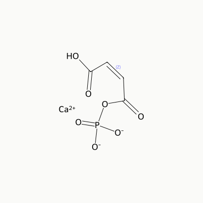 O=C(O)/C=C\C(=O)OP(=O)([O-])[O-].[Ca+2]